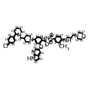 Cc1cc(S(=O)(=O)NC(=O)c2ccc(N3CCC(CN4CCCCC4c4ccc(Cl)cc4)CC3)cc2Oc2cnc3[nH]ccc3c2)ccc1NCCCN1CCOCC1